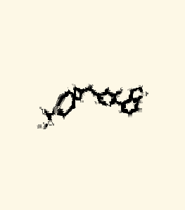 CC(C)(C)OC(=O)N1CCC2(CC1)CC(Cc1cnc(-c3cccc4c3CCN4)c(F)c1)C2